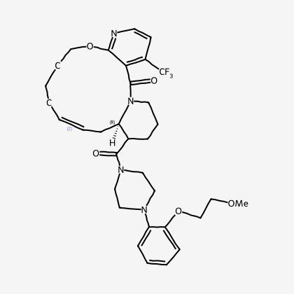 COCCOc1ccccc1N1CCN(C(=O)C2CCCN3C(=O)c4c(C(F)(F)F)ccnc4OCCCC/C=C\C[C@H]23)CC1